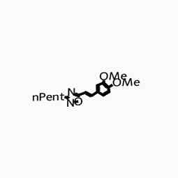 CCCCCc1noc(C=Cc2ccc(OC)c(OC)c2)n1